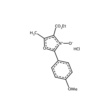 CCOC(=O)c1c(C)oc(-c2ccc(OC)cc2)[n+]1[O-].Cl